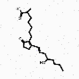 CCCCC(O)C/C=C/C1=C(CCCCCC(C)C(=O)O)C(=O)CC1